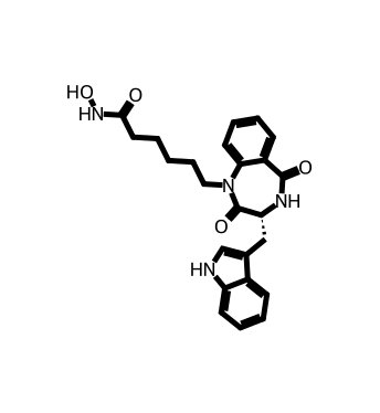 O=C(CCCCCN1C(=O)[C@@H](Cc2c[nH]c3ccccc23)NC(=O)c2ccccc21)NO